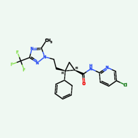 Cc1nc(C(F)(F)F)nn1CC[C@@]1(C2C=CC=CC2)C[C@H]1C(=O)Nc1ccc(Cl)cn1